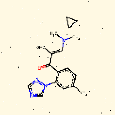 C1CC1.CN(C)C=C(C=O)C(=O)c1ccc(C(F)(F)F)cc1-n1cncn1